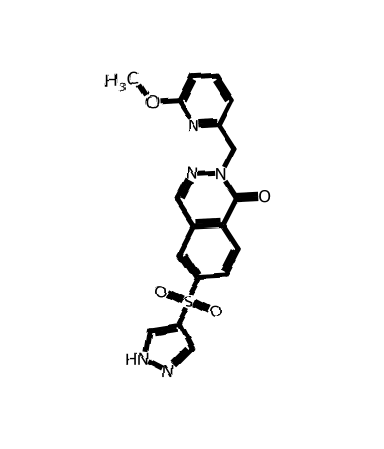 COc1cccc(Cn2ncc3cc(S(=O)(=O)c4cn[nH]c4)ccc3c2=O)n1